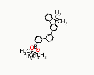 CC1(C)c2ccccc2-c2cc(C3=CC(c4cccc(B5OC(C)(C)C(C)(C)O5)c4)CC=C3)ccc21